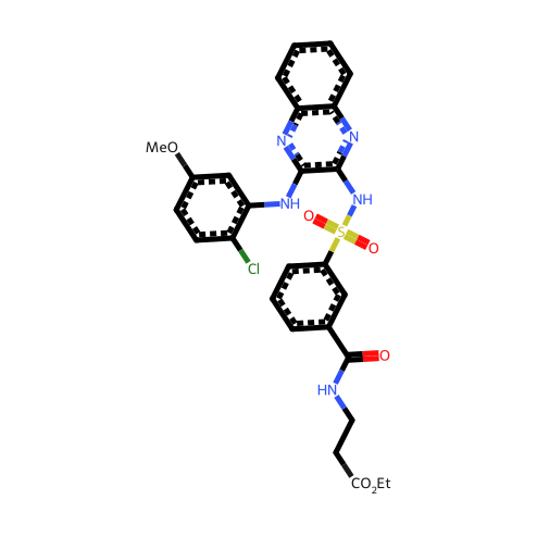 CCOC(=O)CCNC(=O)c1cccc(S(=O)(=O)Nc2nc3ccccc3nc2Nc2cc(OC)ccc2Cl)c1